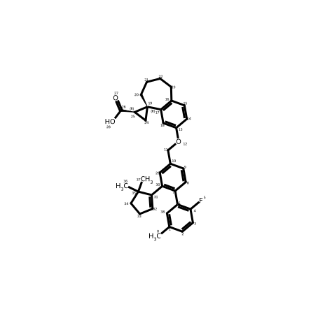 Cc1ccc(F)c(-c2ccc(COc3ccc4c(c3)[C@]3(CCCC4)C[C@H]3C(=O)O)cc2C2=CCCC2(C)C)c1